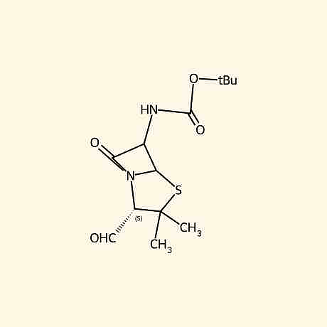 CC(C)(C)OC(=O)NC1C(=O)N2C1SC(C)(C)[C@@H]2C=O